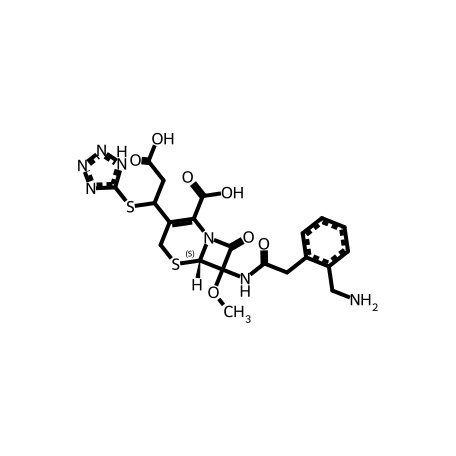 COC1(NC(=O)Cc2ccccc2CN)C(=O)N2C(C(=O)O)=C(C(CC(=O)O)Sc3nnn[nH]3)CS[C@H]21